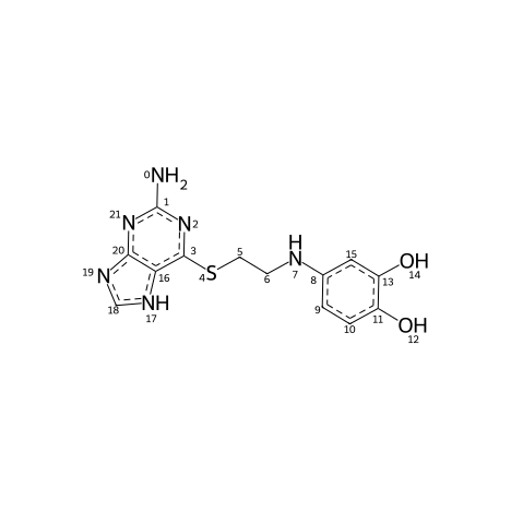 Nc1nc(SCCNc2ccc(O)c(O)c2)c2[nH]cnc2n1